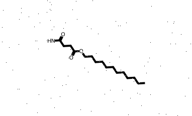 CCCCCCCCCCCCOC(=O)CCC([NH])=O